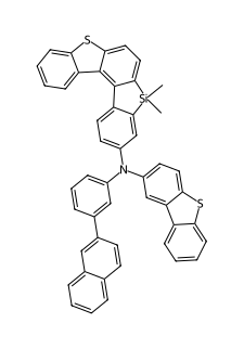 C[Si]1(C)c2cc(N(c3cccc(-c4ccc5ccccc5c4)c3)c3ccc4sc5ccccc5c4c3)ccc2-c2c1ccc1sc3ccccc3c21